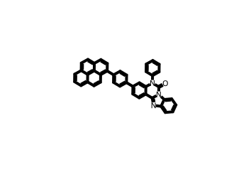 O=c1n(-c2ccccc2)c2cc(-c3ccc(-c4ccc5ccc6cccc7ccc4c5c67)cc3)ccc2c2nc3ccccc3n12